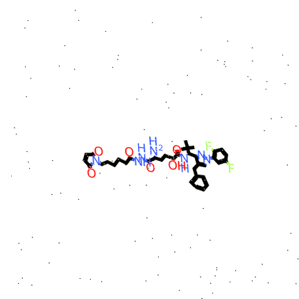 CC(C)(C)[C@@H](NC(=O)C(O)CC[C@H](N)C(=O)NNC(=O)CCCCCN1C(=O)C=CC1=O)c1nn(-c2cc(F)ccc2F)cc1Cc1ccccc1